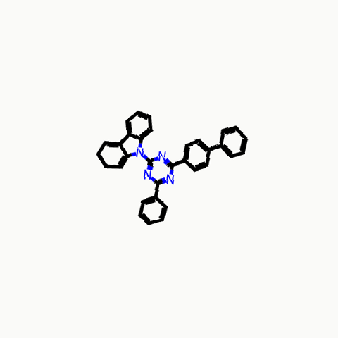 C1=c2c(n(-c3nc(-c4ccccc4)nc(-c4ccc(-c5ccccc5)cc4)n3)c3ccccc23)=CCC1